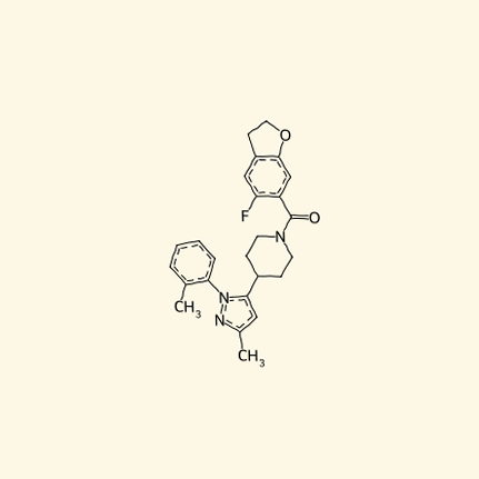 Cc1cc(C2CCN(C(=O)c3cc4c(cc3F)CCO4)CC2)n(-c2ccccc2C)n1